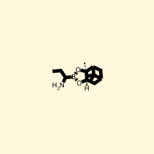 CCC(N)B1O[C@@H]2CC3CC(C3(C)C)[C@]2(C)O1